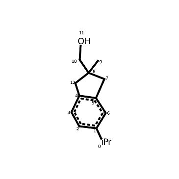 CC(C)c1ccc2c(c1)CC(C)(CO)C2